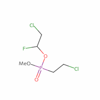 COP(=O)(CCCl)OC(F)CCl